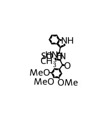 COc1cc(C(=O)c2c[nH]c(-c3c[nH]c4ccccc34)n2)cc(OC)c1OC.CS(=O)(=O)O